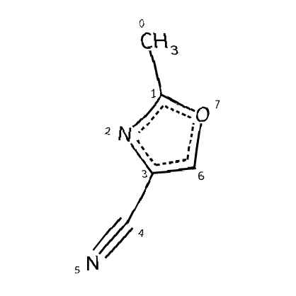 Cc1nc(C#N)co1